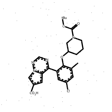 Cc1cc(Cl)cc(-c2ncnn3cc(C(=O)O)cc23)c1OC1CCCN(C(=O)OC(C)(C)C)C1